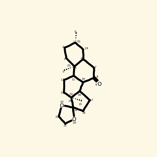 C[C@H]1CC[C@@]2(C)C(CC(=O)C3C2CC[C@@]2(C)C3CCC23OCCO3)C1